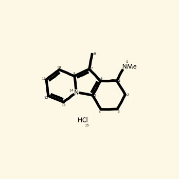 CNC1CCCc2c1c(C)c1ccccn21.Cl